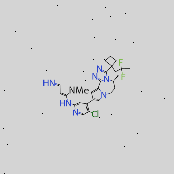 CN/C(=C\C=N)Nc1cc(-c2cc3n(c2)CC[C@H](C)n2c-3nnc2C2(CC(C)(F)F)CCC2)c(Cl)cn1